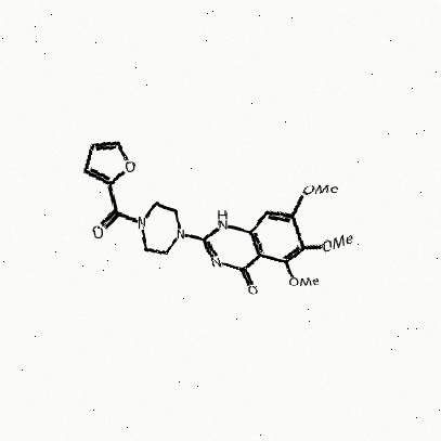 COc1cc2[nH]c(N3CCN(C(=O)c4ccco4)CC3)nc(=O)c2c(OC)c1OC